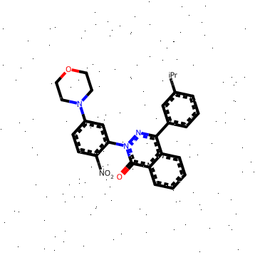 CC(C)c1cccc(-c2nn(-c3cc(N4CCOCC4)ccc3[N+](=O)[O-])c(=O)c3ccccc23)c1